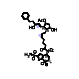 CCN(C(=O)CCC/C=C\C[C@@H]1[C@@H](/C=C/[C@@H](O)CCc2ccccc2)[C@H](OC(C)=O)C[C@@H]1O)[C@H]1C[C@H](C)S(=O)(=O)c2sc(S(N)(=O)=O)cc21